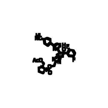 CC(=O)OC[C@@H]1CCCN1C(=O)OCc1ncn(C[C@](O)(c2cc(F)ccc2F)[C@@H](C)c2nc(-c3ccc(C#N)cc3)cs2)n1.I